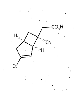 CCC1=C[C@H]2[C@@H](C1)C[C@@]2(C#N)CC(=O)O